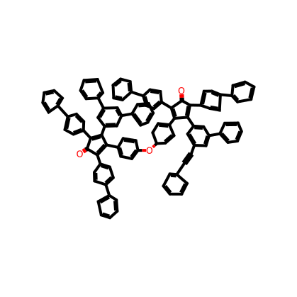 O=C1C(c2ccc(-c3ccccc3)cc2)=C(C2=CCC(Oc3ccc(C4=C(c5ccc(-c6ccccc6)cc5)C(=O)C(c5ccc(-c6ccccc6)cc5)=C4c4cc(-c5ccccc5)cc(-c5ccccc5)c4)cc3)C=C2)C(c2cc(C#Cc3ccccc3)cc(-c3ccccc3)c2)=C1c1ccc(-c2ccccc2)cc1